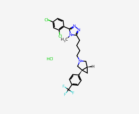 Cl.Cn1c(CCCCN2C[C@@H]3C[C@]3(c3ccc(C(F)(F)F)cc3)C2)nnc1-c1ccc(Cl)cc1Cl